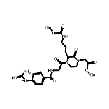 CC(C)(C)OC(=O)CN1CCN(C(=O)CNC(=O)c2ccc(NC(=N)N)cc2)C(CCCNC(=O)OC(C)(C)C)C1=O